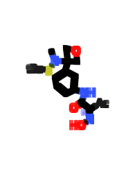 CC(=O)/C(=N/O)C(=O)Nc1cccc(C2(N(C)SC(C)(C)C)COC2)c1